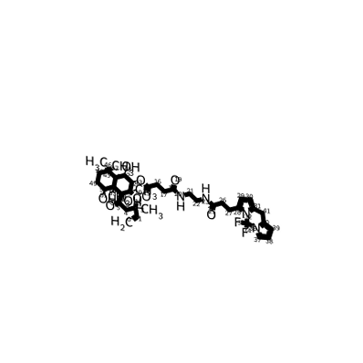 C=C[C@@]1(C)CC(=O)[C@@]2(O)[C@](C)(O1)[C@@H](OC(=O)CCC(=O)NCCNC(=O)CCc1ccc3n1C(F)(F)n1cccc1C3)[C@@H](O)C1C(C)(C)CC[C@H](O)[C@@]12C